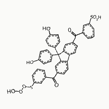 O=C(c1cccc(SOOO)c1)c1ccc2c(c1)C(c1ccc(O)cc1)(c1ccc(O)cc1)c1cc(C(=O)c3cccc(S(=O)(=O)O)c3)ccc1-2